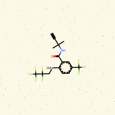 C#CC(C)(C)NC(=O)c1cc(C(F)(F)F)ccc1[AsH]CC(F)(F)C(F)(F)F